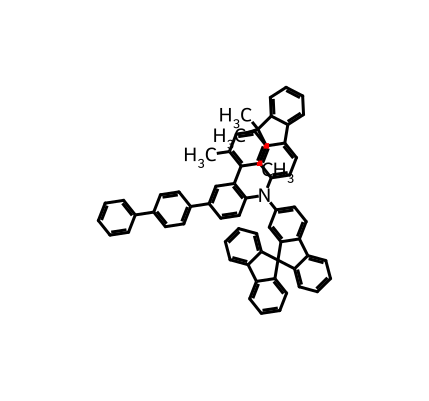 Cc1cccc(C)c1-c1cc(-c2ccc(-c3ccccc3)cc2)ccc1N(c1ccc2c(c1)C(C)(C)c1ccccc1-2)c1ccc2c(c1)C1(c3ccccc3-c3ccccc31)c1ccccc1-2